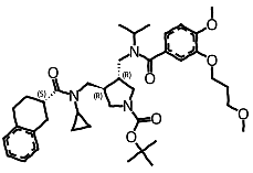 COCCCOc1cc(C(=O)N(C[C@@H]2CN(C(=O)OC(C)(C)C)C[C@H]2CN(C(=O)[C@H]2CCc3ccccc3C2)C2CC2)C(C)C)ccc1OC